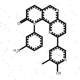 Cc1cc(-c2ccc3ncc4ccc(=O)n(-c5cccc(N)c5)c4c3n2)cnc1C#N